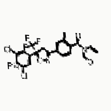 C=CN(C=O)C(=O)c1ccc(C2=NO[C@@](C3=CC(Cl)[C@H](F)C(Cl)=C3)(C(F)(F)F)C2)cc1C